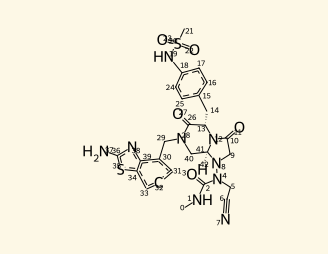 CNC(=O)N(CC#N)N1CC(=O)N2[C@@H](Cc3ccc(NS(C)(=O)=O)cc3)C(=O)N(Cc3cccc4sc(N)nc34)C[C@@H]21